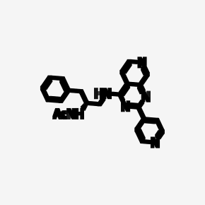 CC(=O)N[C@H](CNc1nc(-c2ccncc2)nc2cnccc12)Cc1ccccc1